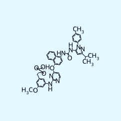 COc1cc(CS(=O)(=O)O)cc(Nc2nccc(Oc3ccc(NC(=O)Nc4cc(C(C)C)nn4-c4ccc(C)cc4)c4ccccc34)n2)c1